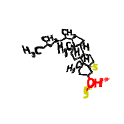 CC(C)CCC[C@@H](C)[C@H]1CC[C@H]2[C@@H]3CC4SC45C[C@@H]([OH+][S-])CC[C@]5(C)[C@H]3CC[C@]12C